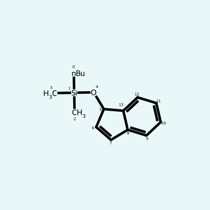 CCCC[Si](C)(C)O[C]1C=Cc2ccccc21